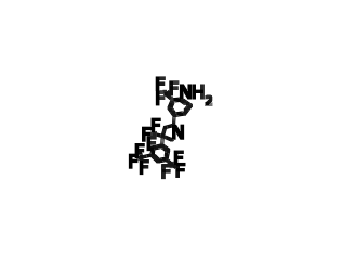 Nc1ccc(C2=NCC(c3cc(C(F)(F)F)cc(C(F)(F)F)c3)(C(F)(F)F)C2)cc1C(F)(F)F